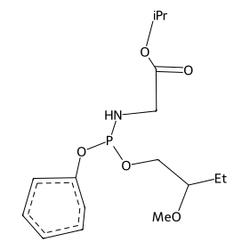 CCC(COP(NCC(=O)OC(C)C)Oc1ccccc1)OC